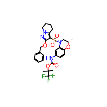 C[C@H]1CN(S(=O)(=O)c2c(OCc3ccccc3)nn3c2CCCC3)c2cc(NC(=O)OC(C)(C)C(F)(F)F)ccc2O1